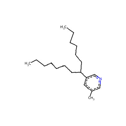 CCCCCCCC(CCCCCC)c1cncc(C)c1